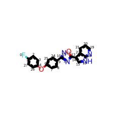 Fc1ccc(Oc2ccc(-c3noc(-c4c[nH]c5ncccc45)n3)cc2)cc1